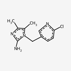 Cc1nc(N)n(Cc2ccc(Cl)nc2)c1C